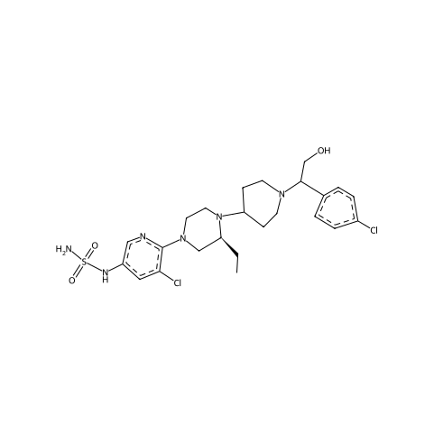 CC[C@H]1CN(c2ncc(NS(N)(=O)=O)cc2Cl)CCN1C1CCN(C(CO)c2ccc(Cl)cc2)CC1